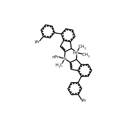 CCC[Si]1(C)C2=Cc3c(-c4cccc(C(C)C)c4)cccc3[CH]2[Hf]([CH3])([CH3])[CH]2C1=Cc1c(-c3cccc(C(C)C)c3)cccc12